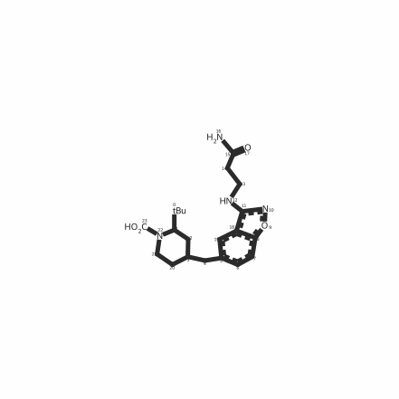 CC(C)(C)C1CC(Cc2ccc3onc(NCCC(N)=O)c3c2)CCN1C(=O)O